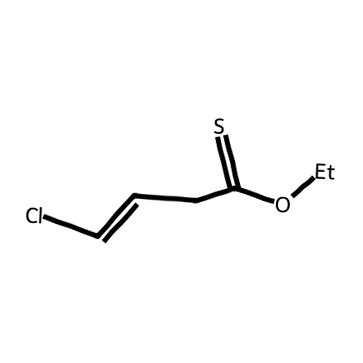 CCOC(=S)CC=CCl